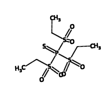 CCS(=O)(=O)P(=S)(S(=O)(=O)CC)S(=O)(=O)CC